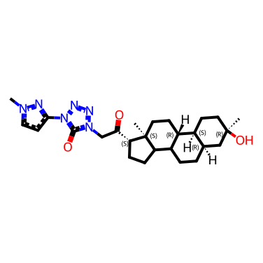 Cn1ccc(-n2nnn(CC(=O)[C@H]3CCC4C5CC[C@@H]6C[C@](C)(O)CC[C@@H]6[C@H]5CC[C@@]43C)c2=O)n1